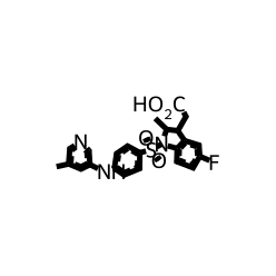 Cc1cncc(Nc2ccc(S(=O)(=O)N3c4ccc(F)cc4C(CC(=O)O)C3C)cc2)c1